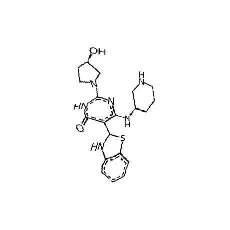 O=c1[nH]c(N2CC[C@@H](O)C2)nc(N[C@@H]2CCCNC2)c1C1Nc2ccccc2S1